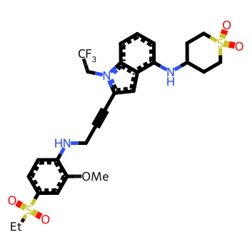 CCS(=O)(=O)c1ccc(NCC#Cc2cc3c(NC4CCS(=O)(=O)CC4)cccc3n2CC(F)(F)F)c(OC)c1